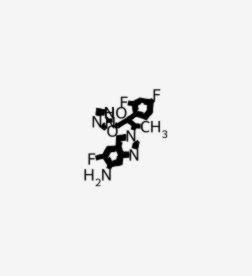 CC(n1cnc2cc(N)c(F)cc2c1=O)C(O)(Cn1cncn1)c1ccc(F)cc1F